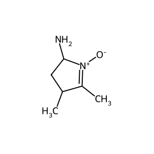 CC1=[N+]([O-])C(N)CC1C